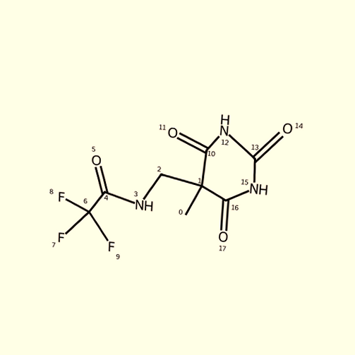 CC1(CNC(=O)C(F)(F)F)C(=O)NC(=O)NC1=O